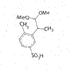 COC(OC)C(C)c1cc(S(=O)(=O)O)ccc1C